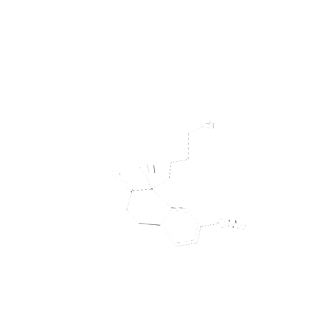 COc1ccc2c(c1)C(C)(CCCCBr)C(=O)CC2